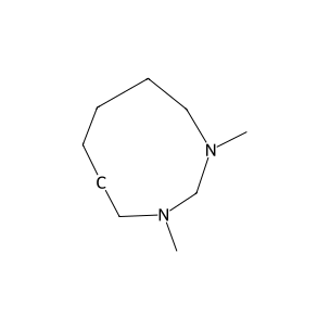 CN1CCCCCCN(C)C1